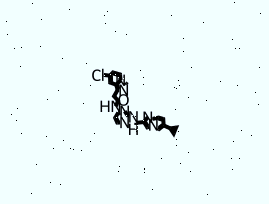 O=C(Cc1ncn2ccc(Cl)cc12)Nc1ccnc(NCc2cn3cc(C4CC4)ccc3n2)n1